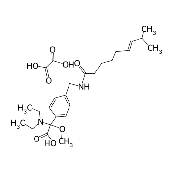 CCN(CC)C(OC)(C(=O)O)c1ccc(CNC(=O)CCCCC=CC(C)C)cc1.O=C(O)C(=O)O